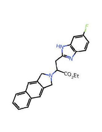 CCOC(=O)C(Cc1nc2ccc(F)cc2[nH]1)N1Cc2cc3ccccc3cc2C1